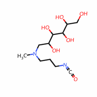 CN(CCCN=C=O)CC(O)C(O)C(O)C(O)CO